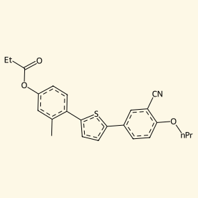 CCCOc1ccc(-c2ccc(-c3ccc(OC(=O)CC)cc3C)s2)cc1C#N